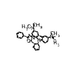 CN(C)c1ccc2c(c1)c1cc(N(C)C)ccc1n2-c1ccccc1-c1nnc(-c2ccccc2)o1